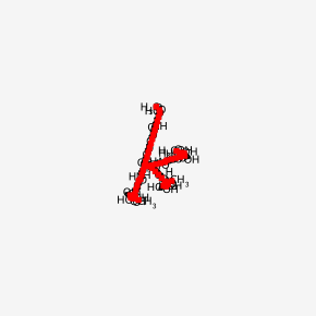 COP(=O)(O)OCCCCCNC(=O)CCOCCOCCOCCOCCNC(=O)[C@H](CCCCNC(=O)CCOCCOC1OC(CO)C(O)C(O)C1NC(C)=O)NC(=O)[C@H](CCCCNC(=O)CCOCCOC1OC(CO)C(O)C(O)C1NC(C)=O)NC(=O)CCOCCOC1OC(CO)C(O)C(O)C1NC(C)=O